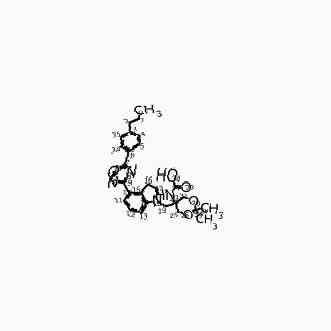 CCCc1ccc(-c2nc(-c3cccc4c3CCN4CC3(NC(=O)O)COC(C)(C)OC3)no2)cc1